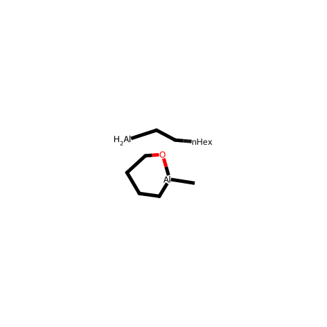 CCCCCCC[CH2][AlH2].[CH3][Al]1[CH2]CCC[O]1